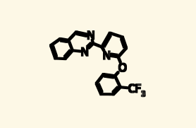 FC(F)(F)c1ccccc1Oc1cccc(-c2ncc3ccccc3n2)n1